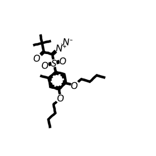 CCCCOc1cc(C)c(S(=O)(=O)C(=[N+]=[N-])C(=O)C(C)(C)C)cc1OCCCC